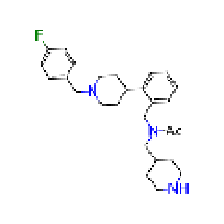 CC(=O)N(Cc1ccccc1C1CCN(Cc2ccc(F)cc2)CC1)CC1CCNCC1